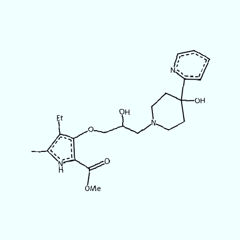 CCc1c(C)[nH]c(C(=O)OC)c1OCC(O)CN1CCC(O)(c2ccccn2)CC1